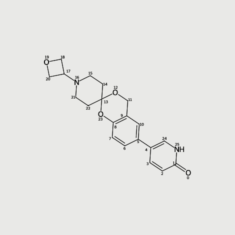 O=c1ccc(-c2ccc3c(c2)COC2(CCN(C4COC4)CC2)O3)c[nH]1